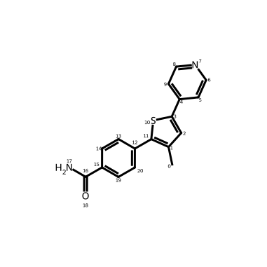 Cc1cc(-c2ccncc2)sc1-c1ccc(C(N)=O)cc1